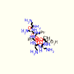 CC(C)C[C@@H](NC(=O)[C@H](CCN)NC(=O)[C@@H](N)CCN)C(=O)N[C@H](C(=O)N[C@@H](CCN)C(=O)N[C@@H](CCN)C(=O)N[C@H](C(=O)O)[C@@H](C)O)C(C)C